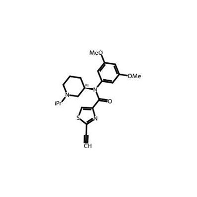 C#Cc1nc(C(=O)N(c2cc(OC)cc(OC)c2)[C@@H]2CCCN(C(C)C)C2)cs1